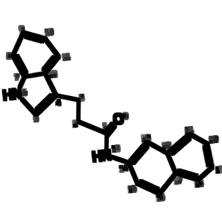 O=C(CCc1c[nH]c2ccccc12)Nc1ccc2ccccc2c1